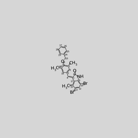 Cc1cc(C=C2C(=O)Nc3c(Br)cc(Br)c(C)c32)cc(C)c1OCc1ccccc1